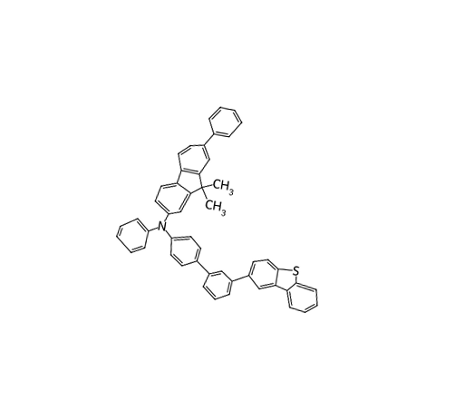 CC1(C)c2cc(-c3ccccc3)ccc2-c2ccc(N(c3ccccc3)c3ccc(-c4cccc(-c5ccc6sc7ccccc7c6c5)c4)cc3)cc21